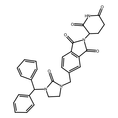 O=C1CCC(N2C(=O)c3ccc(CN4CCN(C(c5ccccc5)c5ccccc5)C4=O)cc3C2=O)C(=O)N1